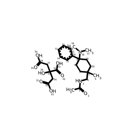 CC(=O)NCC1(C)CCC(c2ccccc2)(N(C)C)CC1.O=C(O)CC(O)(CC(=O)O)C(=O)O